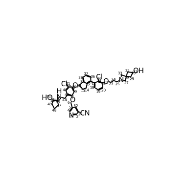 N#Cc1cncc(COc2cc(O[C@H]3CCc4c(-c5cccc(OCCCN6CC7(CC(O)C7)C6)c5Cl)cccc43)c(Cl)cc2CN[C@@H]2CCC[C@H]2O)c1